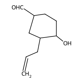 C=CCC1CC(C=O)CCC1O